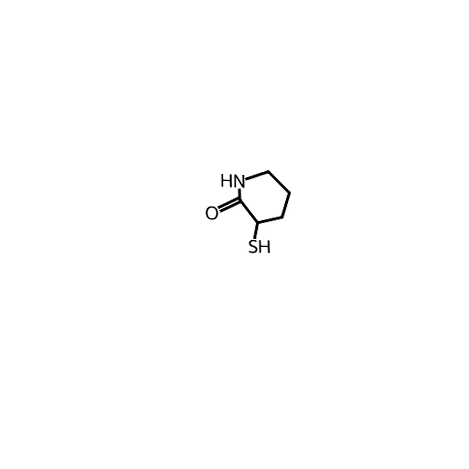 O=C1NCCCC1S